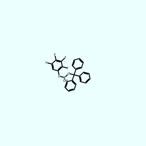 OB(Oc1cc(F)c(F)c(F)c1F)OC(c1ccccc1)(c1ccccc1)c1ccccc1